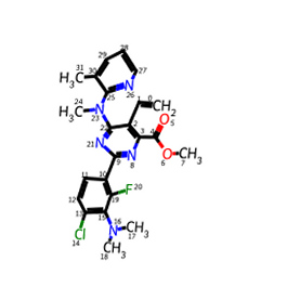 C=Cc1c(C(=O)OC)nc(-c2ccc(Cl)c(N(C)C)c2F)nc1N(C)c1ncccc1C